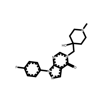 CN1CCC(O)(Cn2cnc3c(cnn3-c3ccc(F)cc3)c2=O)CC1